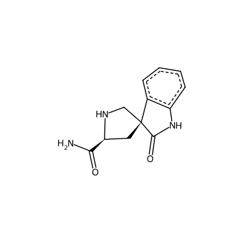 NC(=O)[C@@H]1C[C@]2(CN1)C(=O)Nc1ccccc12